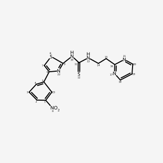 O=[N+]([O-])c1cccc(-c2csc(NC(=S)NCCc3ncccn3)n2)c1